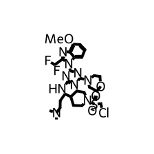 COc1cccc2c1nc(C(F)F)n2-c1nc(NC(CCN(C)C)C2CCN(S(=O)(=O)CCl)CC2)nc(N2CCOCC2)n1